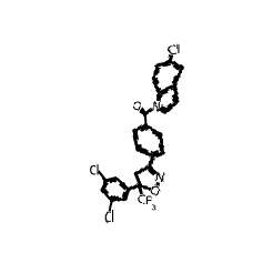 O=C(c1ccc(C2=NOC(c3cc(Cl)cc(Cl)c3)(C(F)(F)F)C2)cc1)n1ccc2cc(Cl)ccc21